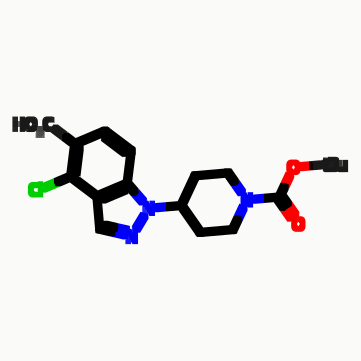 CC(C)(C)OC(=O)N1CCC(n2ncc3c(Cl)c(C(=O)O)ccc32)CC1